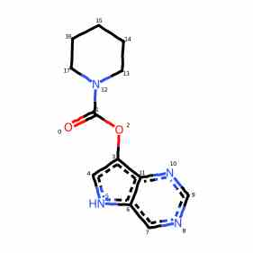 O=C(Oc1c[nH]c2cncnc12)N1CCCCC1